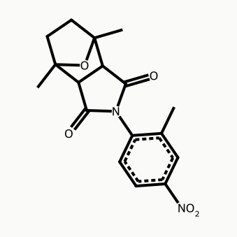 Cc1cc([N+](=O)[O-])ccc1N1C(=O)C2C(C1=O)C1(C)CCC2(C)O1